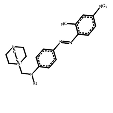 CCN(C[N+]12CCN(CC1)CC2)c1ccc(/N=N/c2ccc([N+](=O)[O-])cc2C#N)cc1